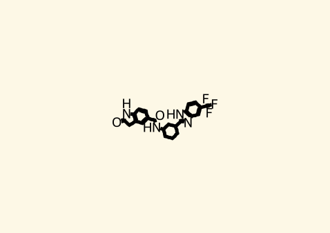 O=C1Cc2cc(C(=O)NC3CCCC(c4nc5cc(C(F)(F)F)ccc5[nH]4)C3)ccc2N1